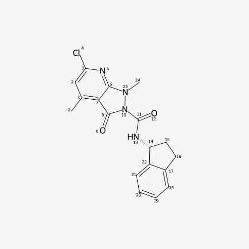 Cc1cc(Cl)nc2c1c(=O)n(C(=O)N[C@@H]1CCc3ccccc31)n2C